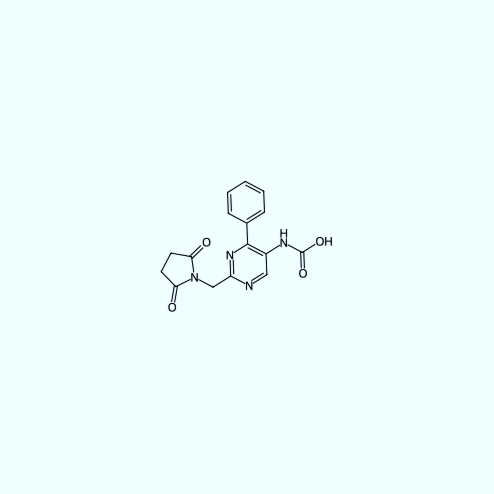 O=C(O)Nc1cnc(CN2C(=O)CCC2=O)nc1-c1ccccc1